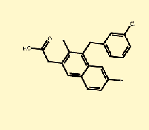 Cc1c(CC(=O)O)cc2ccc(F)cc2c1Cc1cccc(Cl)c1